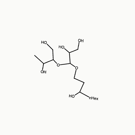 CCCCCCC(O)CCOC(OC(CO)C(C)O)C(O)CO